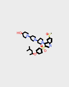 CC(C)CC(C)Oc1ccc(S(=O)(=O)c2cnc3ccc([S+](C)[O-])cc3c2N2CCC(N3CCC(N4CCC(O)CC4)CC3)CC2)cc1